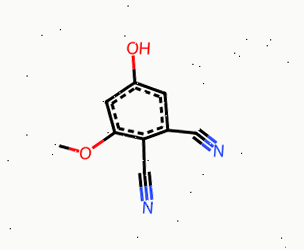 COc1cc(O)cc(C#N)c1C#N